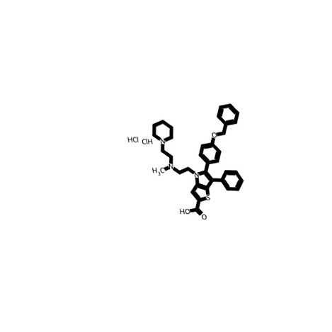 CN(CCN1CCCCC1)CCn1c(-c2ccc(OCc3ccccc3)cc2)c(-c2ccccc2)c2sc(C(=O)O)cc21.Cl.Cl